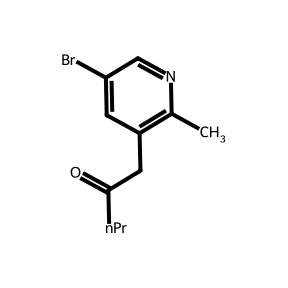 CCCC(=O)Cc1cc(Br)cnc1C